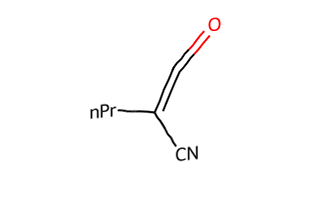 CCCC(=C=O)C#N